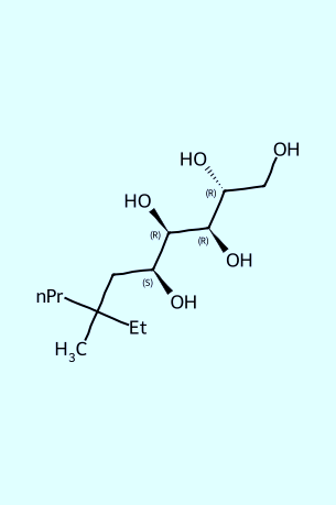 CCCC(C)(CC)C[C@H](O)[C@@H](O)[C@H](O)[C@H](O)CO